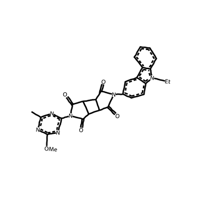 CCn1c2ccccc2c2cc(N3C(=O)C4C(C3=O)C3C(=O)N(c5nc(C)nc(OC)n5)C(=O)C43)ccc21